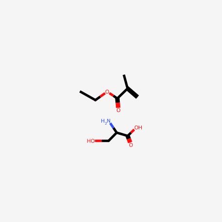 C=C(C)C(=O)OCC.NC(CO)C(=O)O